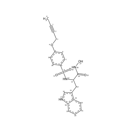 CC#CCOc1ccc(S(=O)(=O)NC(Cc2c[nH]c3ccccc23)C(=O)NO)cc1